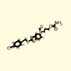 NC(=O)OCCCN(C=O)c1ccc2oc(SCc3ccc(Cl)cc3)nc2c1